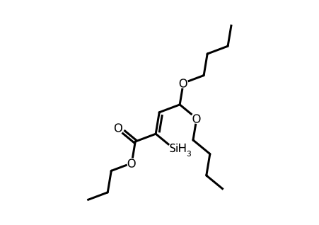 CCCCOC(C=C([SiH3])C(=O)OCCC)OCCCC